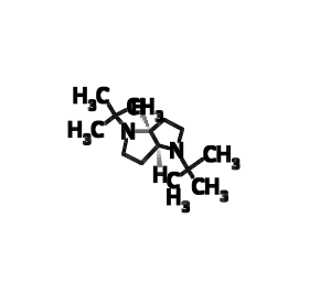 CC(C)(C)N1CC[C@H]2[C@@H]1CCN2C(C)(C)C